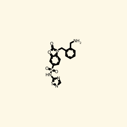 NCc1ccccc1Cn1c(=O)oc2cc(S(=O)(=O)Nc3ncns3)ccc21